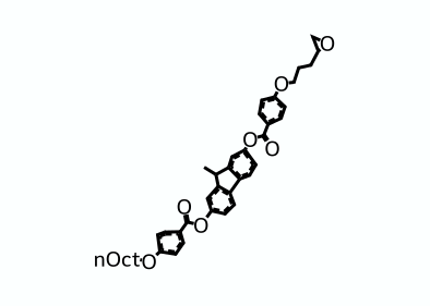 CCCCCCCCOc1ccc(C(=O)Oc2ccc3c(c2)C(C)c2cc(OC(=O)c4ccc(OCCCC5CO5)cc4)ccc2-3)cc1